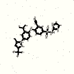 Cc1cc(C(F)(F)F)nn1-c1ccc(Oc2ccc(S(=O)(=O)Nc3nccs3)cc2C#N)c(C(C)C)c1